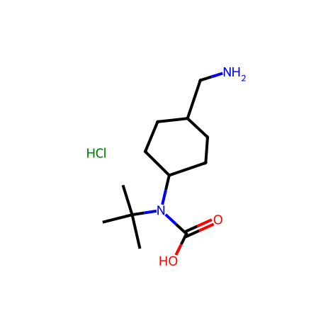 CC(C)(C)N(C(=O)O)C1CCC(CN)CC1.Cl